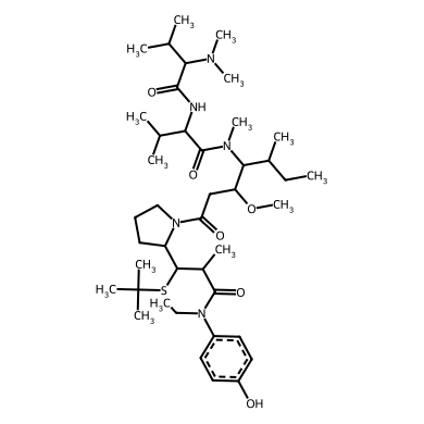 CCC(C)C(C(CC(=O)N1CCCC1C(SC(C)(C)C)C(C)C(=O)N(CC)c1ccc(O)cc1)OC)N(C)C(=O)C(NC(=O)C(C(C)C)N(C)C)C(C)C